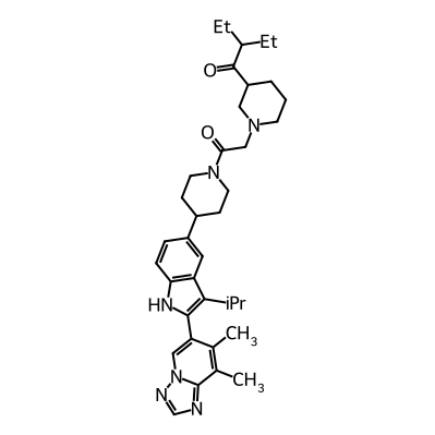 CCC(CC)C(=O)C1CCCN(CC(=O)N2CCC(c3ccc4[nH]c(-c5cn6ncnc6c(C)c5C)c(C(C)C)c4c3)CC2)C1